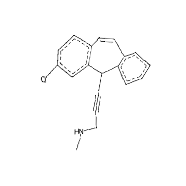 CNCC#CC1c2ccccc2C=Cc2ccc(Cl)cc21